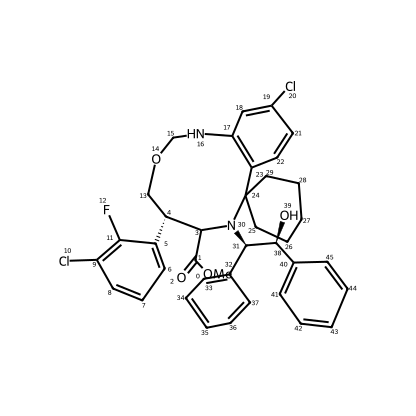 COC(=O)C1[C@H](c2cccc(Cl)c2F)COCNc2cc(Cl)ccc2C2(CCCCC2)N1[C@H](c1ccccc1)[C@@H](O)c1ccccc1